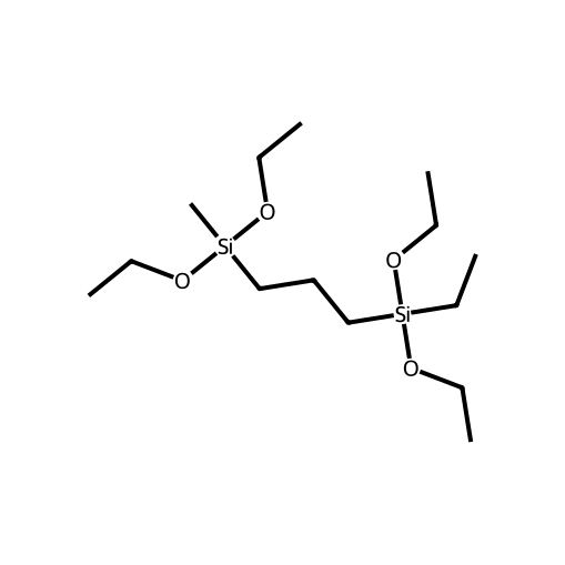 CCO[Si](C)(CCC[Si](CC)(OCC)OCC)OCC